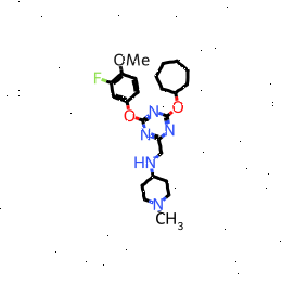 COc1ccc(Oc2nc(CNC3CCN(C)CC3)nc(OC3CCCCCC3)n2)cc1F